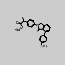 COc1ccc(-c2cccc3c2C(=O)N(c2ccc(C(C)C(=O)OC(C)(C)C)cc2)C3)cc1